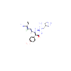 C=C/C(C#N)=C(F)\C=C(/C)c1nc(NCC2CCN(C)C2)n(C)c(=O)c1-c1ccc(OC)cc1